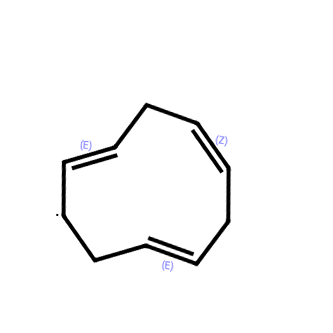 [CH]1/C=C/C/C=C\C/C=C/C1